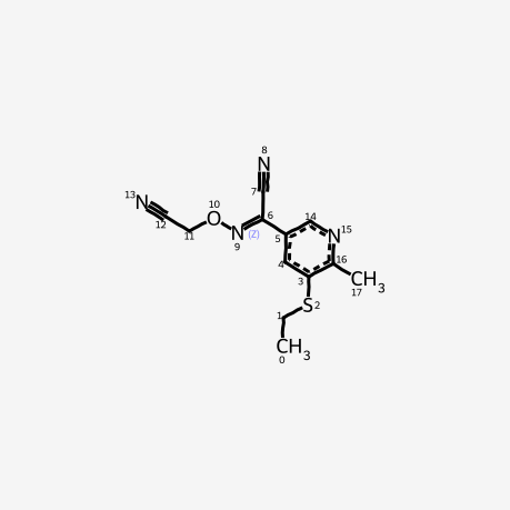 CCSc1cc(/C(C#N)=N/OCC#N)cnc1C